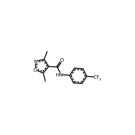 Cc1noc(C)c1C(=O)Nc1ccc(C(F)(F)F)cc1